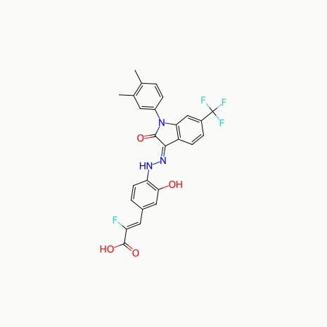 Cc1ccc(N2C(=O)C(=NNc3ccc(C=C(F)C(=O)O)cc3O)c3ccc(C(F)(F)F)cc32)cc1C